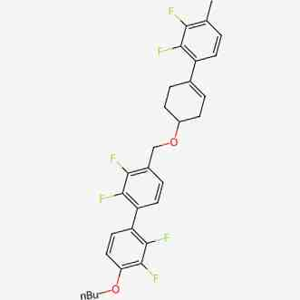 CCCCOc1ccc(-c2ccc(COC3CC=C(c4ccc(C)c(F)c4F)CC3)c(F)c2F)c(F)c1F